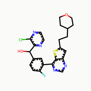 OC(c1ccc(F)c(-c2ncnc3cc(CCC4CCOCC4)sc23)c1)c1nccnc1Cl